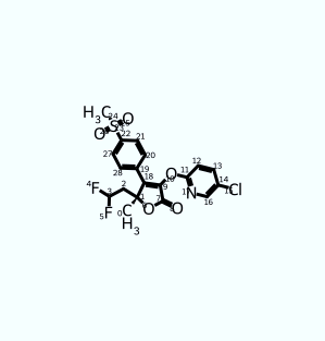 C[C@]1(CC(F)F)OC(=O)C(Oc2ccc(Cl)cn2)=C1c1ccc(S(C)(=O)=O)cc1